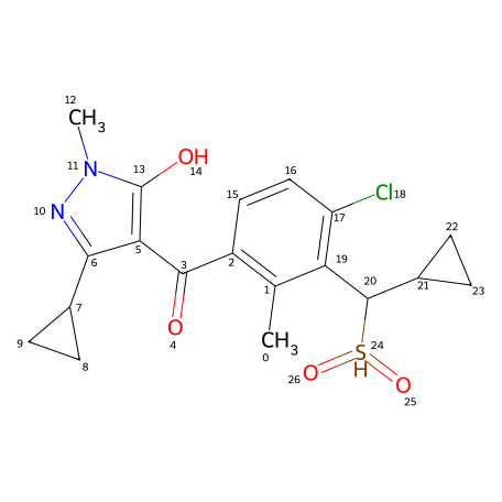 Cc1c(C(=O)c2c(C3CC3)nn(C)c2O)ccc(Cl)c1C(C1CC1)[SH](=O)=O